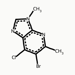 Cc1nc2c(ncn2C)c(Cl)c1Br